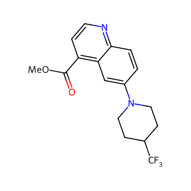 COC(=O)c1ccnc2ccc(N3CCC(C(F)(F)F)CC3)cc12